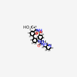 Cc1ccc(S(=O)(=O)N[C@@H](CC(=O)O)c2cccc(-c3cccc(NC(=O)NCc4cccnc4)c3)c2)cc1